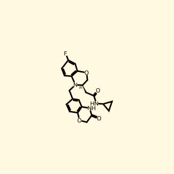 O=C1COc2ccc(CN3c4ccc(F)cc4OC[C@H]3CC(=O)NC3CC3)cc2N1